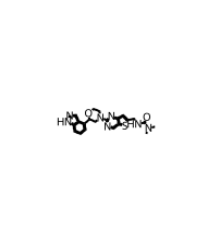 CN(C)C(=O)NCc1cc2nc(N3CCOC(c4cccc5[nH]ncc45)C3)ncc2s1